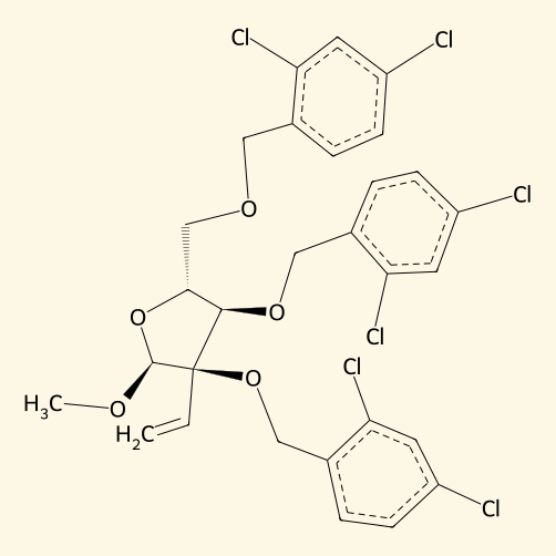 C=C[C@]1(OCc2ccc(Cl)cc2Cl)[C@@H](OC)O[C@H](COCc2ccc(Cl)cc2Cl)[C@H]1OCc1ccc(Cl)cc1Cl